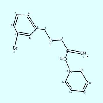 C=C(COCc1cccc(Br)c1)ON1C=CC=CC1